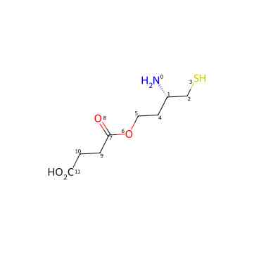 N[C@H](CS)CCOC(=O)CCC(=O)O